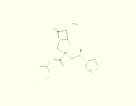 CCOC(=O)OC(C)OC(=O)C1(C[C@@H](C)n2cnnn2)CN2C(=O)[C@H](CO)[C@H]2S1